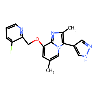 Cc1cc(OCc2ncccc2F)c2nc(C)c(-c3cn[nH]c3)n2c1